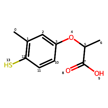 Cc1cc(OC(C)C(=O)O)ccc1S